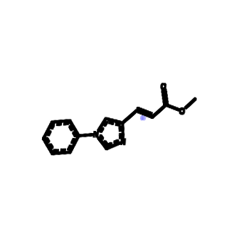 COC(=O)/C=C/c1cn(-c2ccccc2)cn1